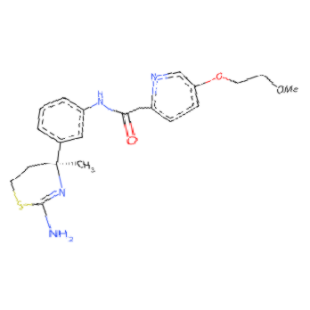 COCCOc1ccc(C(=O)Nc2cccc([C@]3(C)CCSC(N)=N3)c2)nc1